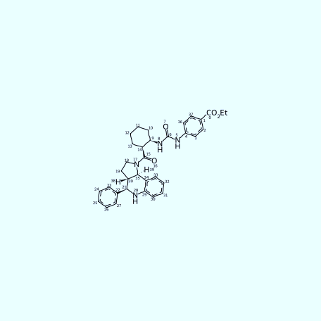 CCOC(=O)c1ccc(NC(=O)N[C@@H]2CCCC[C@@H]2C(=O)N2CC[C@H]3[C@H](c4ccccc4)Nc4ccccc4[C@@H]32)cc1